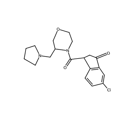 O=C1CC(C(=O)N2CCOCC2CN2CCCC2)c2ccc(Cl)cc21